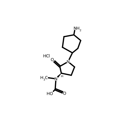 CN(C(=O)O)[C@@H]1CCN(C2CCC(N)CC2)C1=O.Cl